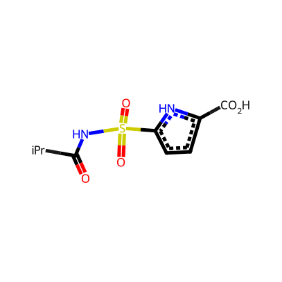 CC(C)C(=O)NS(=O)(=O)c1ccc(C(=O)O)[nH]1